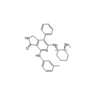 Cc1cccc(Nc2nc(N[C@@H]3CCCC[C@@H]3N)c(-c3ccccc3)c3c2C(=O)NC3)c1